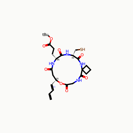 C=C/C=C/[C@@H]1CC(=O)N[C@H](CCC(=O)OC(C)(C)C)C(=O)N[C@H](CS)C(=O)NC2(CCC2)C(=O)NCC(=O)O1